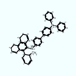 CC1C=CC=CC1c1c2c(c3c(c1Nc1ccc(-c4ccc(N(c5ccccc5)c5ccccc5)cc4)cc1)C=CCC3)CCC=C2